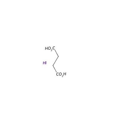 I.O=C(O)CCC(=O)O